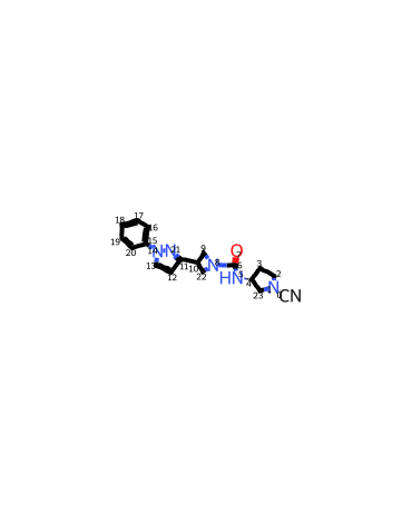 N#CN1CC[C@@H](NC(=O)N2CC(c3ccn(-c4ccccc4)n3)C2)C1